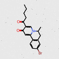 CCCCC(=O)c1cn2c(cc1=O)-c1ccc(Br)cc1CC2C